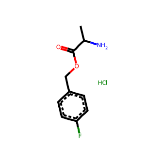 CC(N)C(=O)OCc1ccc(F)cc1.Cl